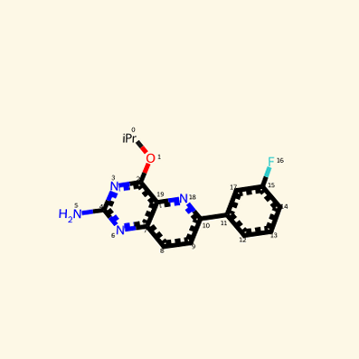 CC(C)Oc1nc(N)nc2ccc(-c3cccc(F)c3)nc12